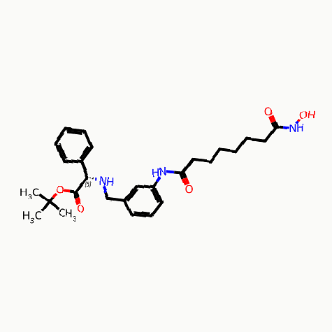 CC(C)(C)OC(=O)[C@@H](NCc1cccc(NC(=O)CCCCCCC(=O)NO)c1)c1ccccc1